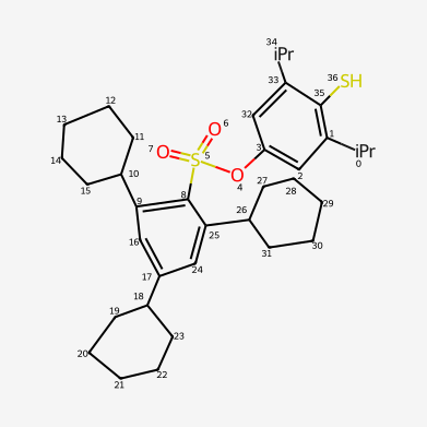 CC(C)c1cc(OS(=O)(=O)c2c(C3CCCCC3)cc(C3CCCCC3)cc2C2CCCCC2)cc(C(C)C)c1S